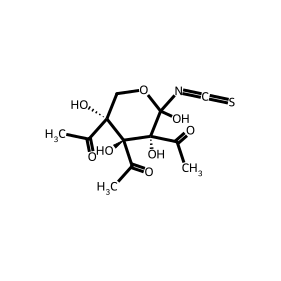 CC(=O)[C@]1(O)[C@@](O)(C(C)=O)COC(O)(N=C=S)[C@@]1(O)C(C)=O